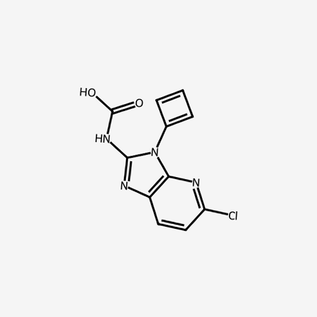 O=C(O)Nc1nc2ccc(Cl)nc2n1C1=CC=C1